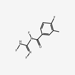 Cc1cc(C(=O)N(F)C(=NF)NF)ccc1F